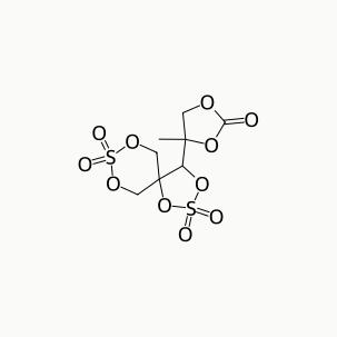 CC1(C2OS(=O)(=O)OC23COS(=O)(=O)OC3)COC(=O)O1